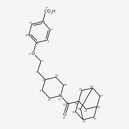 O=C(O)c1ccc(OCCC2CCN(C(=O)C34CC5CC(CC(C5)C3)C4)CC2)cc1